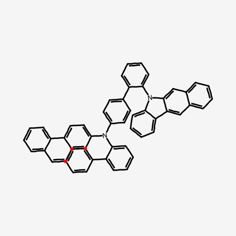 c1ccc(-c2ccccc2N(c2ccc(-c3ccccc3-n3c4ccccc4c4cc5ccccc5cc43)cc2)c2ccc3c(ccc4ccccc43)c2)cc1